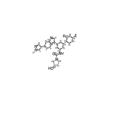 Cn1cc(-c2ccn3c(-c4cc(NC(=O)N5CCC(O)C5)cc(-c5ccc(F)cc5F)c4)cnc3c2)cn1